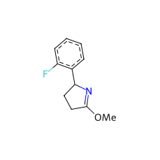 COC1=NC(c2ccccc2F)CC1